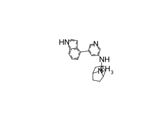 CN1C2CCC1CC(Nc1cncc(-c3cccc4[nH]ccc34)c1)C2